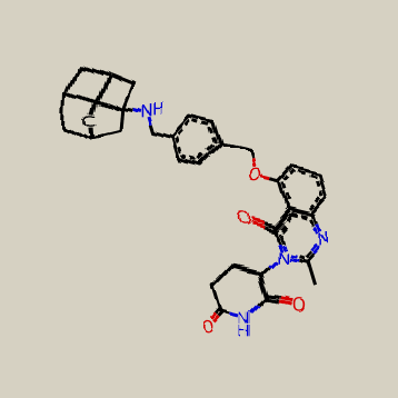 Cc1nc2cccc(OCc3ccc(CNC45CC6CC7CC(C4)C75C6)cc3)c2c(=O)n1C1CCC(=O)NC1=O